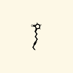 CCC#CCCC/C=C1\CCCC1=O